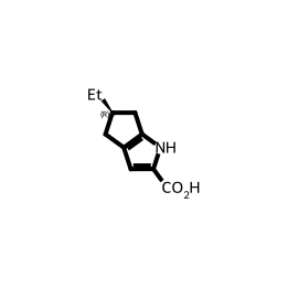 CC[C@@H]1Cc2cc(C(=O)O)[nH]c2C1